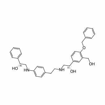 OCc1cc([C@H](O)CNCCc2ccc(NC[C@H](O)c3ccccc3)cc2)ccc1OCc1ccccc1